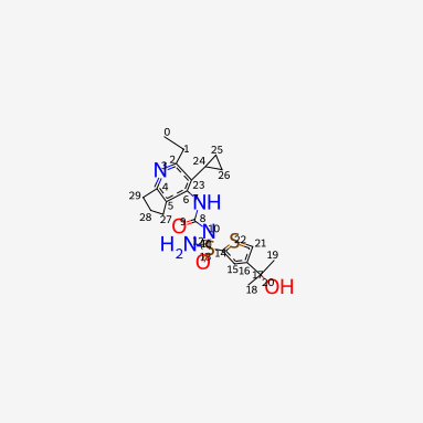 CCc1nc2c(c(NC(=O)N=[S@@](N)(=O)c3cc(C(C)(C)O)cs3)c1C1CC1)CCC2